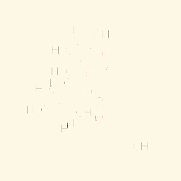 CCCC/C(=C/B1OC(C)(C)C(C)(C)O1)B(OC)OC(C)(C)C(C)(C)C